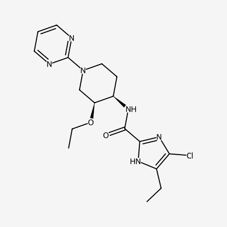 CCO[C@H]1CN(c2ncccn2)CC[C@H]1NC(=O)c1nc(Cl)c(CC)[nH]1